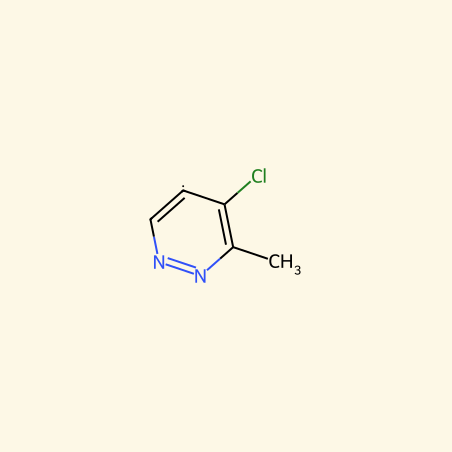 Cc1nnc[c]c1Cl